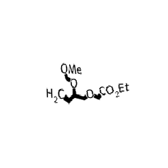 C=CC(COCC(=O)OCC)OCOC